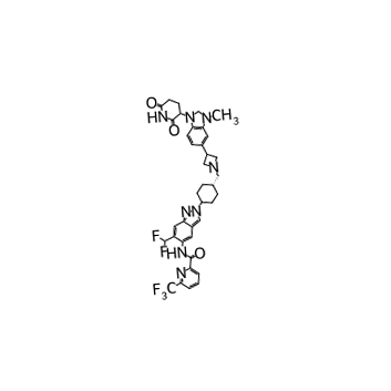 CN1CN(C2CCC(=O)NC2=O)c2ccc(C3CN(C[C@H]4CC[C@H](n5cc6cc(NC(=O)c7cccc(C(F)(F)F)n7)c(C(F)F)cc6n5)CC4)C3)cc21